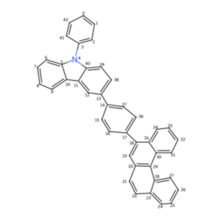 c1ccc(-n2c3ccccc3c3cc(-c4ccc(-c5cc6ccc7ccccc7c6c6ccccc56)cc4)ccc32)cc1